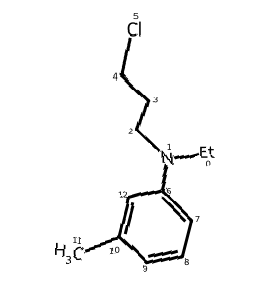 CCN(CCCCl)c1cccc(C)c1